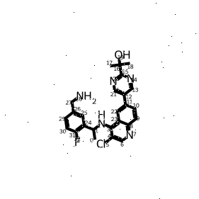 CC(Nc1c(Cl)cnc2ccc(-c3cnc(C(C)(C)O)nc3)cc12)c1cc(CN)ccc1F